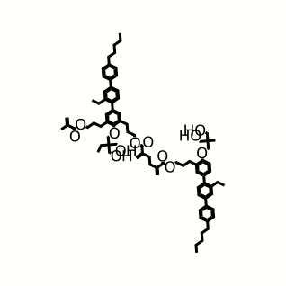 C=C(C)C(=O)OCCCc1cc(-c2ccc(-c3ccc(CCCCC)cc3)cc2CC)cc(CCCOC(=O)C(=C)CCC(=C)C(=O)OCCCc2cc(-c3ccc(-c4ccc(CCCCC)cc4)cc3CC)ccc2OCC(C)(CO)CO)c1OCC(CC)(CO)CO